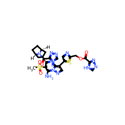 CS(=O)(=O)c1c([C@@H]2C[C@H]3CC[C@@H](C2)N3C(=O)c2nnc[nH]2)nc2c(-c3cnc(COC(=O)c4nnc[nH]4)s3)cnn2c1N